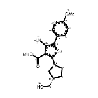 COC(=O)c1c(N2CC[C@H](CO)C2)sc(-c2ccc(OC)nc2)c1N